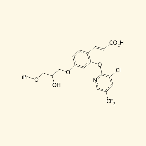 CC(C)OCC(O)COc1ccc(/C=C/C(=O)O)c(Oc2ncc(C(F)(F)F)cc2Cl)c1